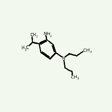 CCCN(CCC)c1ccc(C(C)C)c(N)c1